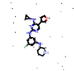 Fc1cc(Nc2ncc(-c3ccoc3)c(NC3CC3)n2)cc(N[C@@H]2CCCNC2)c1